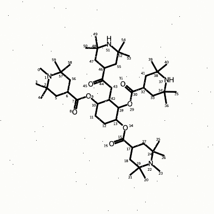 CN1C(C)(C)CC(C(=O)OC2CCC(OC(=O)C3CC(C)(C)N(C)C(C)(C)C3)C(OC(=O)C3CC(C)(C)NC(C)(C)C3)C2CC(=O)C2CC(C)(C)NC(C)(C)C2)CC1(C)C